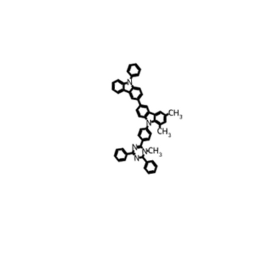 Cc1cc(C)c2c(c1)c1cc(-c3ccc4c(c3)c3ccccc3n4-c3ccccc3)ccc1n2-c1ccc(C2=NC(c3ccccc3)=NC(c3ccccc3)N2C)cc1